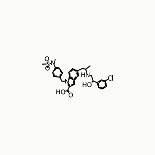 CC(Cc1ccc2c(c1)cc(C(=O)O)n2Cc1ccc(N(C)S(C)(=O)=O)cc1)NCC(O)c1cccc(Cl)c1